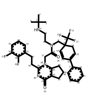 CC(C)(C)NCCN(CC1(C(F)(F)F)C=CC(c2ccccc2)=CC1)C(=O)Cn1c(CCc2cccc(F)c2F)nc(=O)c2c1CCC2